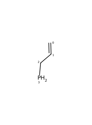 C=CCP